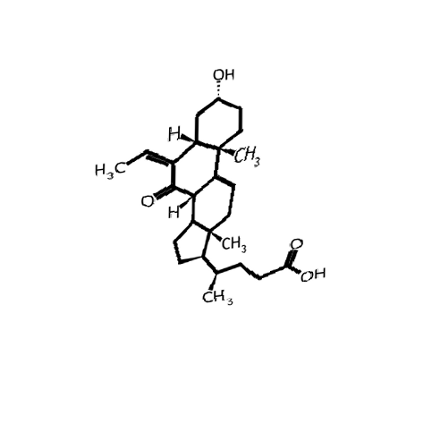 C/C=C1\C(=O)[C@H]2C3CC[C@H]([C@H](C)CCC(=O)O)[C@@]3(C)CCC2[C@@]2(C)CC[C@@H](O)C[C@@H]12